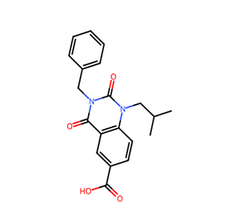 CC(C)Cn1c(=O)n(Cc2ccccc2)c(=O)c2cc(C(=O)O)ccc21